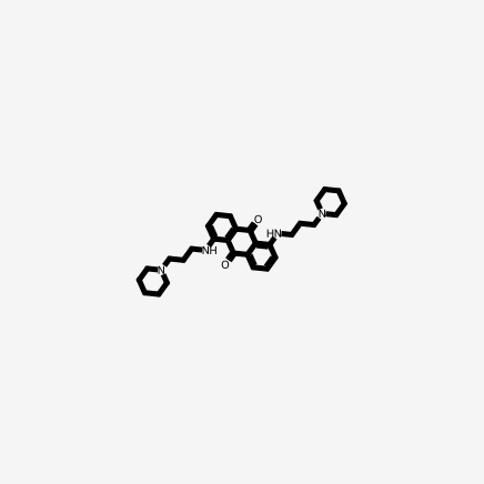 O=C1C2=C(CCC=C2NCCCN2CCCCC2)C(=O)c2c(NCCCN3CCCCC3)cccc21